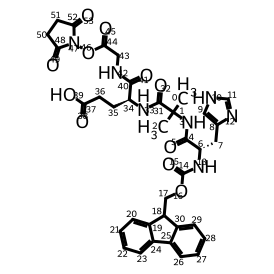 CC(C)(NC(=O)[C@H](Cc1c[nH]cn1)NC(=O)OCC1c2ccccc2-c2ccccc21)C(=O)N[C@@H](CCC(=O)O)C(=O)NCC(=O)ON1C(=O)CCC1=O